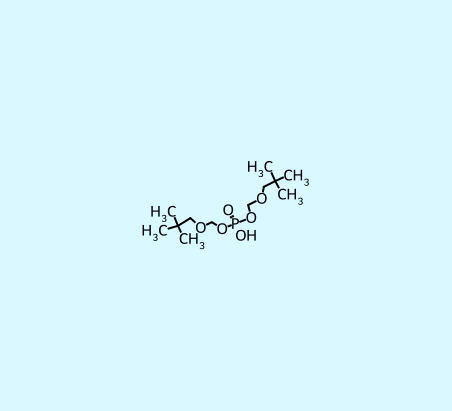 CC(C)(C)COCOP(=O)(O)OCOCC(C)(C)C